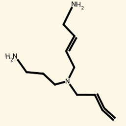 C=C=CCN(CC=CCN)CCCN